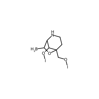 BC1OC2(COI)CCNC1C2OI